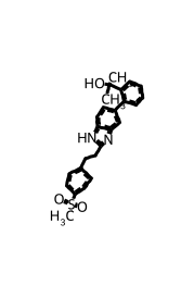 CC(C)(O)c1ccccc1-c1ccc2[nH]c(CCc3ccc(S(C)(=O)=O)cc3)nc2c1